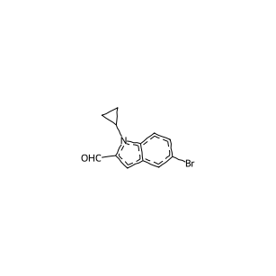 O=Cc1cc2cc(Br)ccc2n1C1CC1